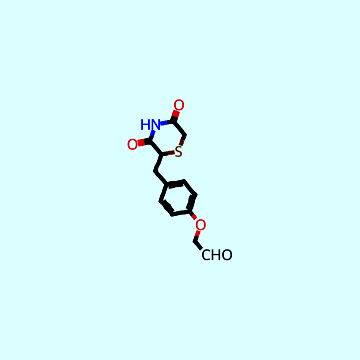 O=CCOc1ccc(CC2SCC(=O)NC2=O)cc1